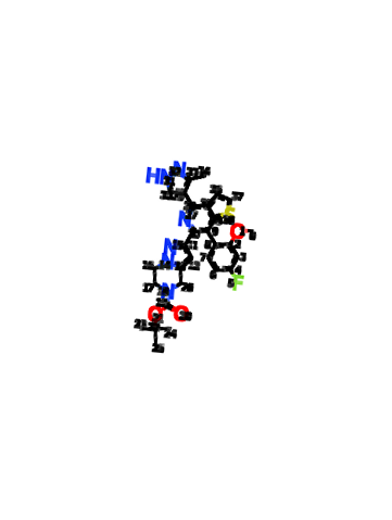 COc1cc(F)ccc1-c1c(-c2cc3n(n2)CCN(C(=O)OC(C)(C)C)C3)nc(-c2c[nH]nc2C)c2ccsc12